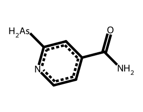 NC(=O)c1ccnc([AsH2])c1